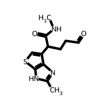 CNC(=O)C(CCC=O)c1csc2[nH]c(C)nc12